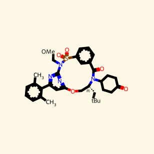 COCN1c2nc(cc(-c3c(C)cccc3C)n2)OC[C@@H](CC(C)(C)C)N(C2CCC(=O)CC2)C(=O)c2cccc(c2)S1(=O)=O